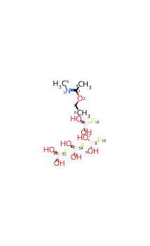 CCOC(C)=NC.OB(O)F.OB(O)F.OB(O)F.OB(O)F